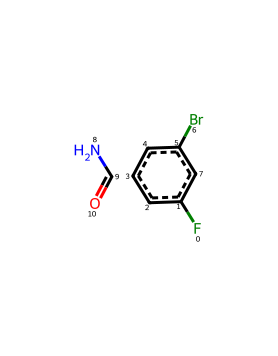 Fc1cccc(Br)c1.NC=O